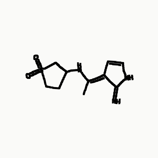 C/C(NC1CCS(=O)(=O)C1)=C1/C=CNC1=N